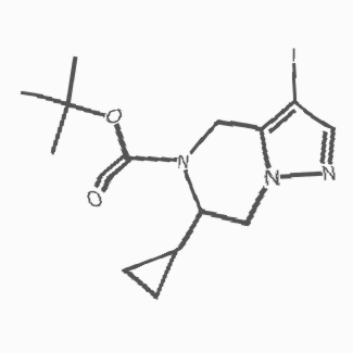 CC(C)(C)OC(=O)N1Cc2c(I)cnn2CC1C1CC1